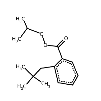 CC(C)OOC(=O)c1ccccc1CC(C)(C)C